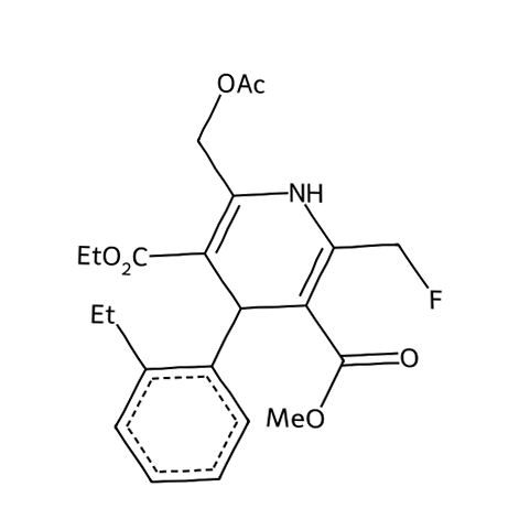 CCOC(=O)C1=C(COC(C)=O)NC(CF)=C(C(=O)OC)C1c1ccccc1CC